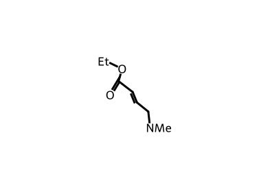 CCOC(=O)C=CCNC